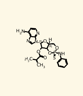 CC(C)C(=O)OC1C2OP(=S)(Nc3ccccc3)OC[C@H]2O[C@H]1n1cnc2c(N)ccnc21